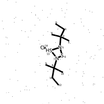 CCC(C)(C)N1SN(C(C)(C)CC)[SH]1Cl